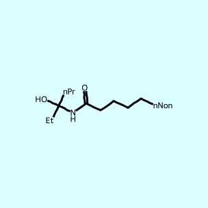 [CH2]CC(O)(CCC)NC(=O)CCCCCCCCCCCCC